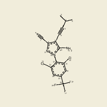 CC(C)C#Cc1c(C#N)nn(-c2c(Cl)cc(C(F)(F)F)cc2Cl)c1N